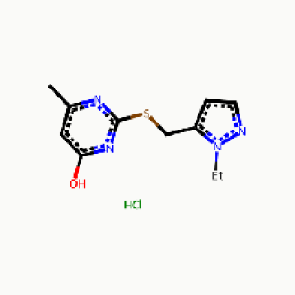 CCn1nccc1CSc1nc(C)cc(O)n1.Cl